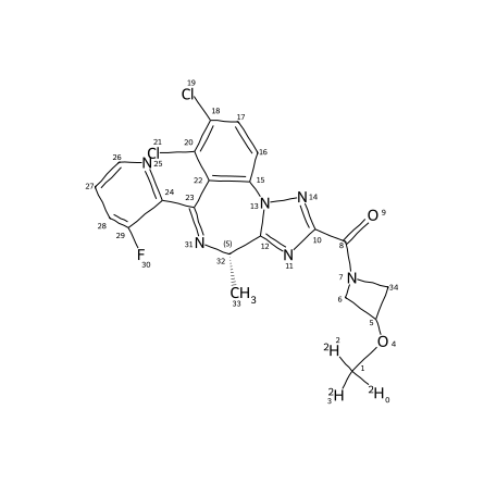 [2H]C([2H])([2H])OC1CN(C(=O)c2nc3n(n2)-c2ccc(Cl)c(Cl)c2C(c2ncccc2F)=N[C@H]3C)C1